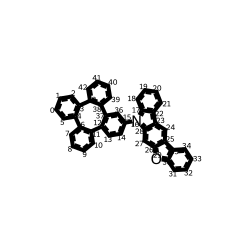 c1ccc2c(c1)-c1ccccc1-c1ccc(-n3c4ccccc4c4cc5c(cc43)oc3ccccc35)cc1-c1ccccc1-2